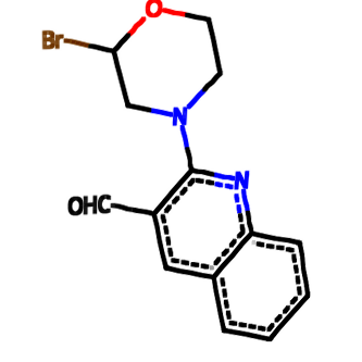 O=Cc1cc2ccccc2nc1N1CCOC(Br)C1